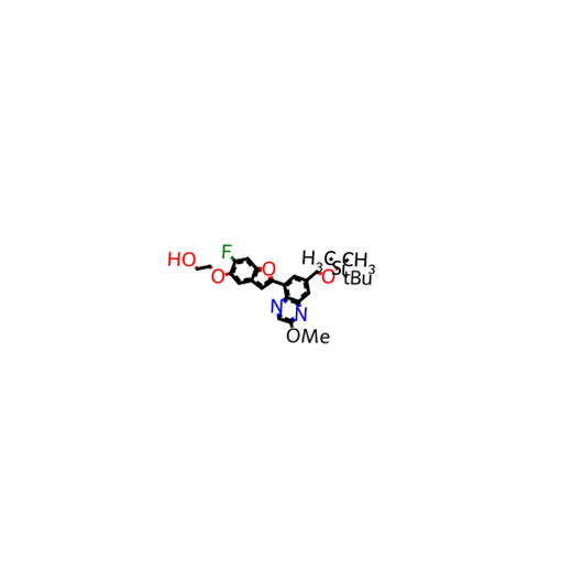 COc1cnc2c(-c3cc4cc(OCCO)c(F)cc4o3)cc(CO[Si](C)(C)C(C)(C)C)cc2n1